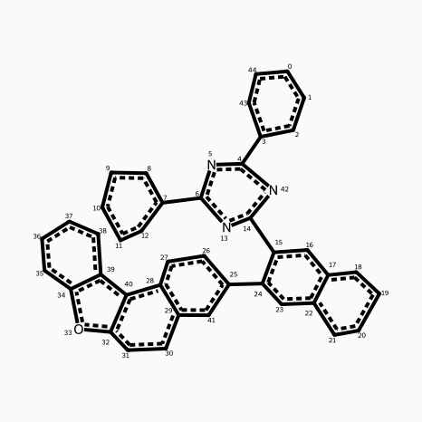 c1ccc(-c2nc(-c3ccccc3)nc(-c3cc4ccccc4cc3-c3ccc4c(ccc5oc6ccccc6c54)c3)n2)cc1